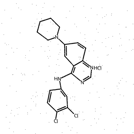 Cl.Clc1ccc(Nc2ncnc3ccc(N4CCCCC4)cc23)cc1Cl